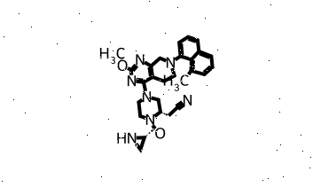 COc1nc2c(c(N3CCN(C(=O)[C@@H]4CN4)[C@@H](CC#N)C3)n1)CCN(c1cccc3cccc(C)c13)C2